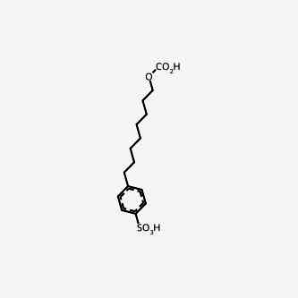 O=C(O)OCCCCCCCCc1ccc(S(=O)(=O)O)cc1